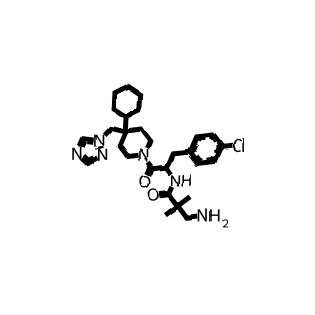 CC(C)(CN)C(=O)NC(Cc1ccc(Cl)cc1)C(=O)N1CCC(Cn2cncn2)(C2CCCCC2)CC1